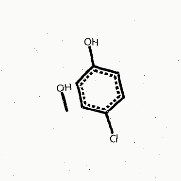 CO.Oc1ccc(Cl)cc1